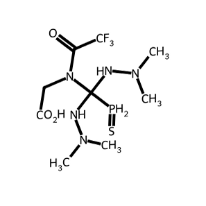 CN(C)NC(NN(C)C)([PH2]=S)N(CC(=O)O)C(=O)C(F)(F)F